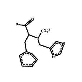 O=C(F)C(Cc1ccccc1)N(Cc1cscn1)C(=O)O